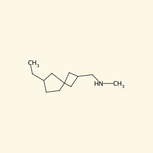 CCC1CCC2(C1)CC(CNC)C2